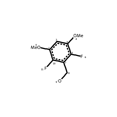 COc1cc(OC)c(F)c(C[O])c1F